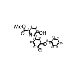 COC(=O)c1ccc(O)c(-c2ccc(Cl)c(OCc3ccccc3)c2)n1